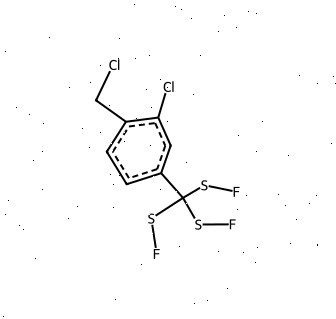 FSC(SF)(SF)c1ccc(CCl)c(Cl)c1